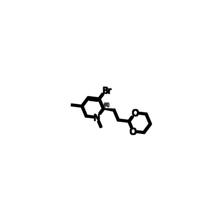 CC1C=C(Br)[C@@H](CCC2OCCCO2)N(C)C1